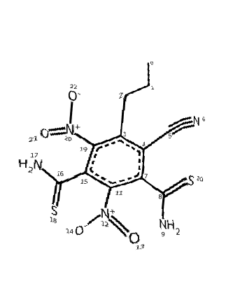 CCCc1c(C#N)c(C(N)=S)c([N+](=O)[O-])c(C(N)=S)c1[N+](=O)[O-]